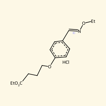 CCO/N=C/c1ccc(OCCCC(=O)OCC)cc1.Cl